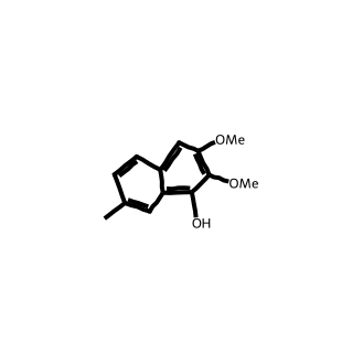 COc1cc2ccc(C)cc2c(O)c1OC